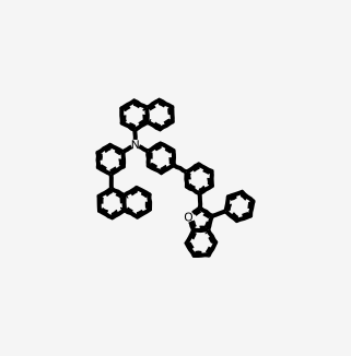 c1ccc(-c2c(-c3cccc(-c4ccc(N(c5cccc(-c6cccc7ccccc67)c5)c5cccc6ccccc56)cc4)c3)oc3ccccc23)cc1